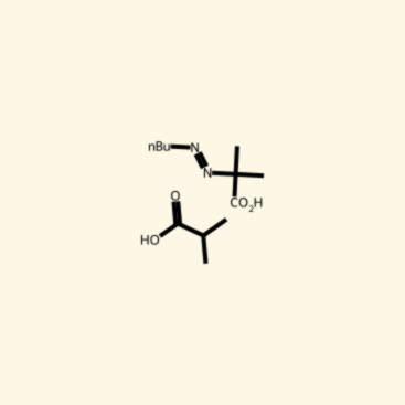 CC(C)C(=O)O.CCCCN=NC(C)(C)C(=O)O